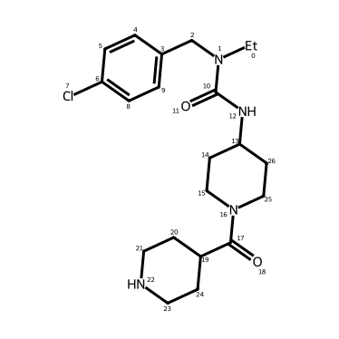 CCN(Cc1ccc(Cl)cc1)C(=O)NC1CCN(C(=O)C2CCNCC2)CC1